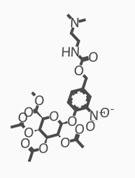 COC(=O)[C@H]1O[C@@H](Oc2ccc(COC(=O)NCCN(C)C)cc2[N+](=O)[O-])[C@H](OC(C)=O)[C@@H](OC(C)=O)[C@@H]1OC(C)=O